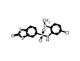 COc1ccc(Cl)cc1NS(=O)(=O)c1ccc2sc(=O)sc2c1